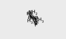 CC(C)(C(=O)N1CCN(C(=O)c2ccc(N)c(F)c2)CC1)c1ccc(F)cc1